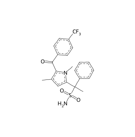 Cc1cc(C(C)(c2ccccc2)S(N)(=O)=O)n(C)c1C(=O)c1ccc(C(F)(F)F)cc1